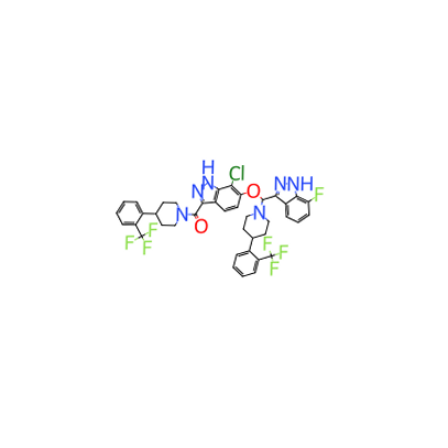 O=C(c1n[nH]c2c(Cl)c(OC(c3n[nH]c4c(F)cccc34)N3CCC(c4ccccc4C(F)(F)F)CC3)ccc12)N1CCC(c2ccccc2C(F)(F)F)CC1